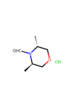 C[C@@H]1COC[C@@H](C)N1C=O.Cl